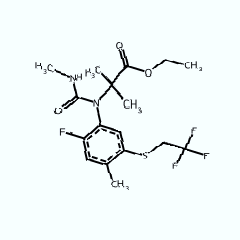 CCOC(=O)C(C)(C)N(C(=O)NC)c1cc(SCC(F)(F)F)c(C)cc1F